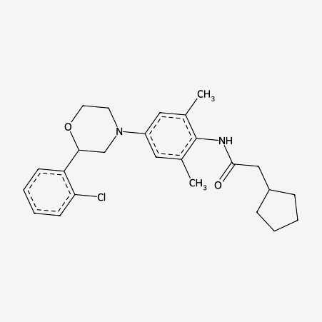 Cc1cc(N2CCOC(c3ccccc3Cl)C2)cc(C)c1NC(=O)CC1CCCC1